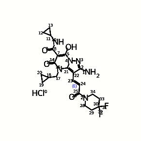 Cl.Nc1nn2c(O)c(C(=O)NC3CC3)c(=O)n(CC3CC3)c2c1/C=C/C(=O)N1CCC(F)(F)CC1